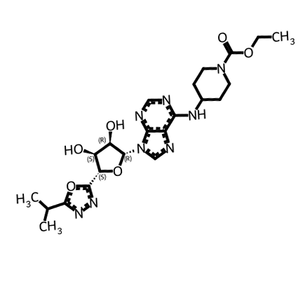 CCOC(=O)N1CCC(Nc2ncnc3c2ncn3[C@@H]2O[C@H](c3nnc(C(C)C)o3)[C@@H](O)[C@H]2O)CC1